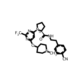 CN1CCC(Oc2cc(N3CCC[C@H]3C(=O)NCCc3ccc(C#N)cc3)nc(C(F)(F)F)n2)CC1